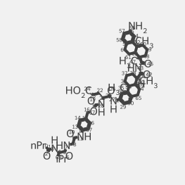 CCCC(=O)NC(C(=O)NCC(=O)Nc1ccc(COC(=O)N[C@@H](CCC(=O)O)C(=O)Nc2ccc3c(c2)[C@@]2(C)CCC[C@](C)(C(=O)NC(=O)[C@@]4(C)CCC[C@]5(C)c6cc(N)ccc6CCC45)[C@@H]2CC3)cc1)C(C)C